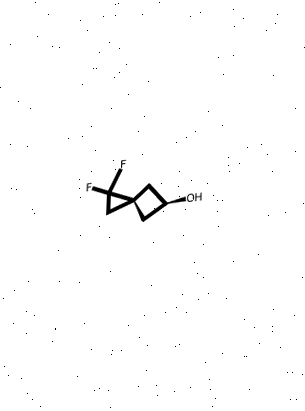 O[C@H]1C[C@]2(CC2(F)F)C1